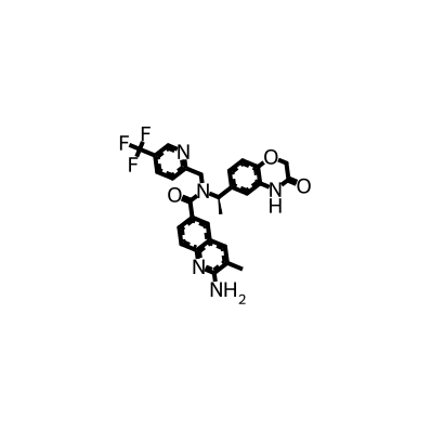 Cc1cc2cc(C(=O)N(Cc3ccc(C(F)(F)F)cn3)[C@H](C)c3ccc4c(c3)NC(=O)CO4)ccc2nc1N